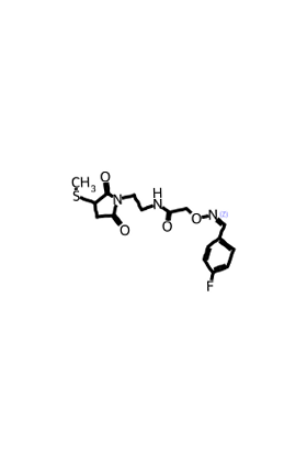 CSC1CC(=O)N(CCNC(=O)CO/N=C\c2ccc(F)cc2)C1=O